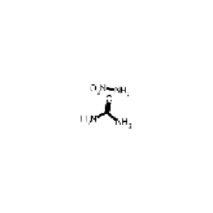 NC(N)=O.N[N+](=O)[O-]